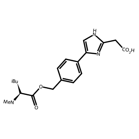 CC[C@H](C)[C@H](NC)C(=O)OCc1ccc(-c2c[nH]c(CC(=O)O)n2)cc1